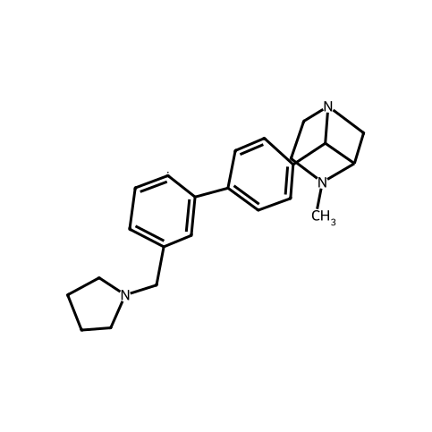 CN1CCN2CC1C2c1ccc(-c2[c]ccc(CN3CCCC3)c2)cc1